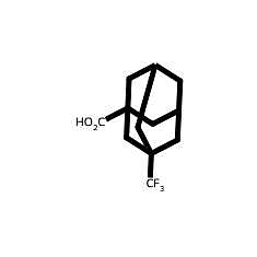 O=C(O)C12CC3CC(C1)CC(C(F)(F)F)(C3)C2